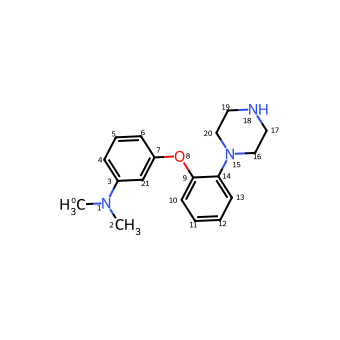 CN(C)c1cccc(Oc2ccccc2N2CCNCC2)c1